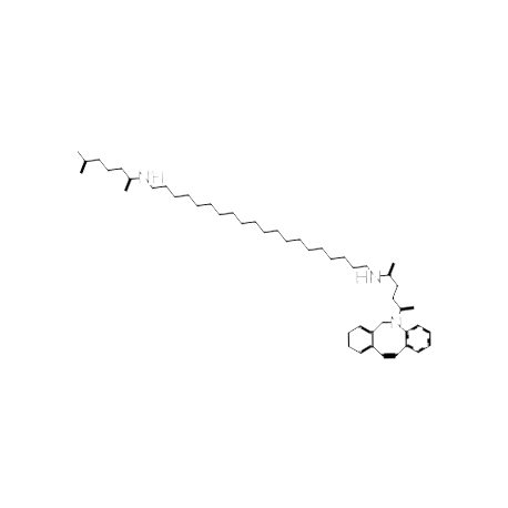 C=C(C)CCCC(=C)NCCCCCCCCCCCCCCCCCCCCNC(=C)CCC(=C)N1CC2=CCCC=C2C#Cc2ccccc21